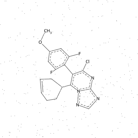 COc1cc(F)c(-c2c(Cl)nc3ncnn3c2C2CC=CCC2)c(F)c1